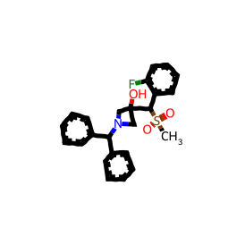 CS(=O)(=O)C(c1ccccc1F)C1(O)CN(C(c2ccccc2)c2ccccc2)C1